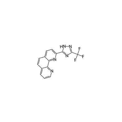 FC(F)(F)c1n[nH]c(-c2ccc3ccc4cccnc4c3n2)n1